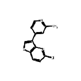 Cc1cc(-c2csc3ccc(Cl)nc23)ccn1